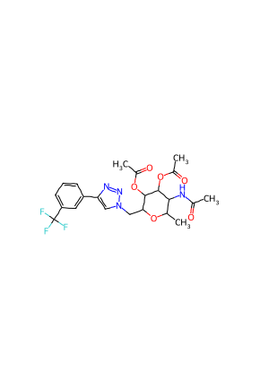 CC(=O)NC1C(C)OC(Cn2cc(-c3cccc(C(F)(F)F)c3)nn2)C(OC(C)=O)C1OC(C)=O